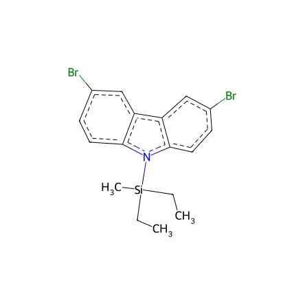 CC[Si](C)(CC)n1c2ccc(Br)cc2c2cc(Br)ccc21